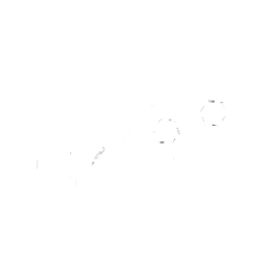 CCc1ccc(Cc2cc(Br)c(COCC#CC[Si](C)(C)C)cc2Cl)cc1